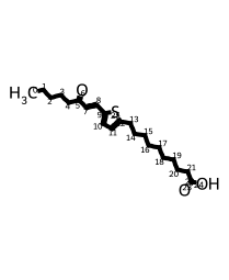 CCCCCC(=O)/C=C/c1ccc(CCCCCCCCCC(=O)O)s1